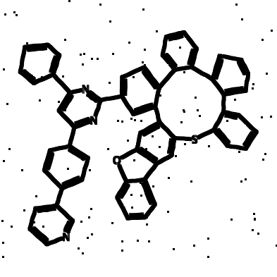 c1ccc(-c2cc(-c3ccc(-c4cccnc4)cc3)nc(-c3ccc4c(c3)-c3cc5oc6ccccc6c5cc3Sc3ccccc3-c3ccccc3-c3ccccc3-4)n2)cc1